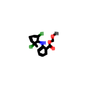 CCOCOC(=O)c1ccccc1NC1C(Cl)=CC=CC1(C)Cl